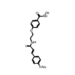 COc1ccc(/C=C/C(=O)NCCOc2ccc(C(=O)NO)cc2)cc1